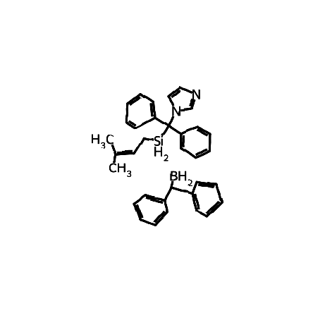 BC(c1ccccc1)c1ccccc1.CC(C)=CC[SiH2]C(c1ccccc1)(c1ccccc1)n1ccnc1